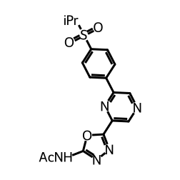 CC(=O)Nc1nnc(-c2cncc(-c3ccc(S(=O)(=O)C(C)C)cc3)n2)o1